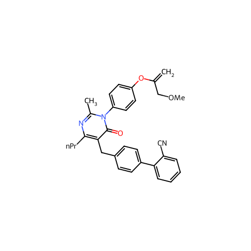 C=C(COC)Oc1ccc(-n2c(C)nc(CCC)c(Cc3ccc(-c4ccccc4C#N)cc3)c2=O)cc1